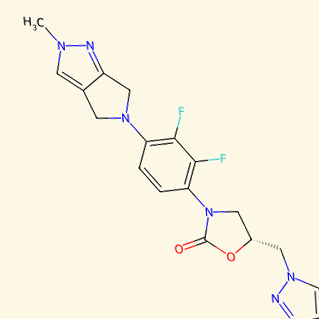 Cn1cc2c(n1)CN(c1ccc(N3C[C@H](Cn4ccnn4)OC3=O)c(F)c1F)C2